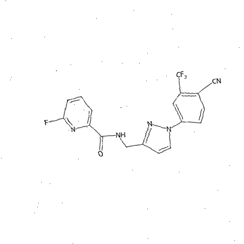 N#Cc1ccc(-n2ccc(CNC(=O)c3cccc(F)n3)n2)cc1C(F)(F)F